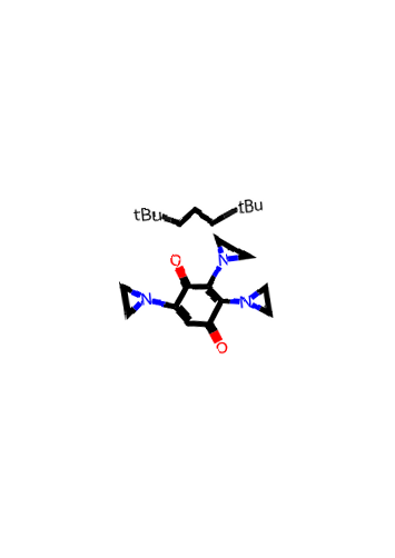 CC(C)(C)CCCC(C)(C)C.O=C1C=C(N2CC2)C(=O)C(N2CC2)=C1N1CC1